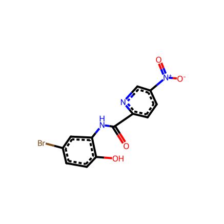 O=C(Nc1cc(Br)ccc1O)c1ccc([N+](=O)[O-])cn1